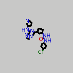 O=C(Nc1ccc(Cl)cc1)Nc1cccc(-c2cn3ccnc3c(Nc3cccnc3)n2)c1